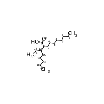 CCCCCCCCC(C(=O)O)C(CC)CCCCC